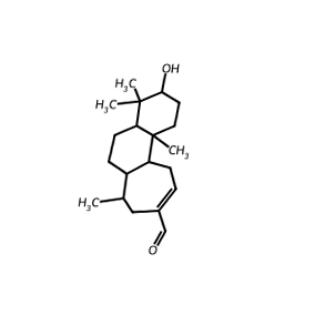 CC1CC(C=O)=CCC2C1CCC1C(C)(C)C(O)CCC21C